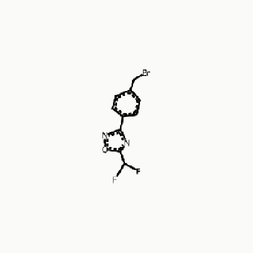 FC(F)c1nc(-c2ccc(CBr)cc2)no1